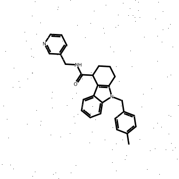 Cc1ccc(Cn2c3c(c4ccccc42)C(C(=O)NCc2cccnc2)CCC3)cc1